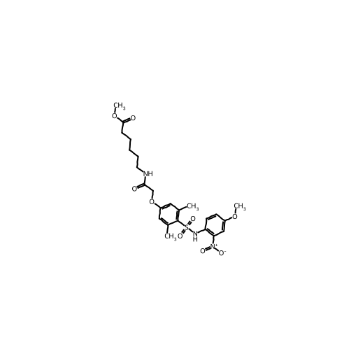 COC(=O)CCCCCNC(=O)COc1cc(C)c(S(=O)(=O)Nc2ccc(OC)cc2[N+](=O)[O-])c(C)c1